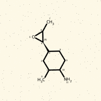 CC1CC([C@H]2OC2C)CCC1N